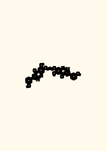 COc1cccc(C2=CN3C(=O)c4cc(OC)c(OCCCOc5cc6c(cc5OC)C(=O)N5C=C(c7cccc(OC)c7)C[C@H]5C=N6)cc4N=C[C@@H]3C2)c1